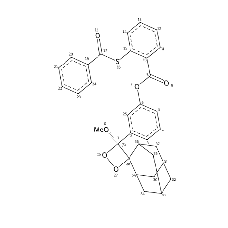 CO[C@@]1(c2cccc(OC(=O)c3ccccc3SC(=O)c3ccccc3)c2)OOC12C1CC3CC(C1)CC2C3